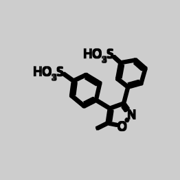 Cc1onc(-c2cccc(S(=O)(=O)O)c2)c1-c1ccc(S(=O)(=O)O)cc1